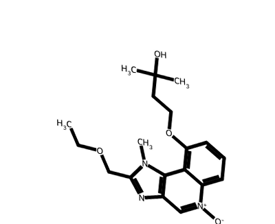 CCOCc1nc2c[n+]([O-])c3cccc(OCCC(C)(C)O)c3c2n1C